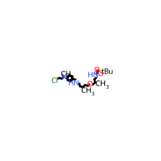 CC(CCNCc1ccc(N(C)CCCl)cc1)CCOCC(C)CCNC(=O)OC(C)(C)C